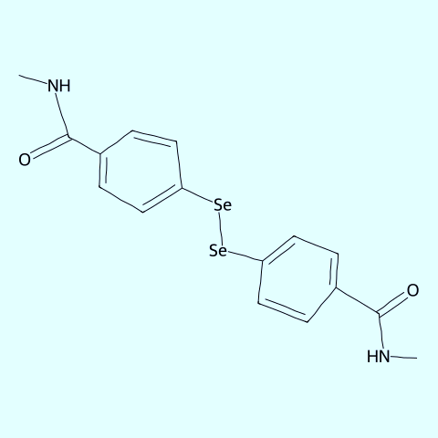 CNC(=O)c1ccc([Se][Se]c2ccc(C(=O)NC)cc2)cc1